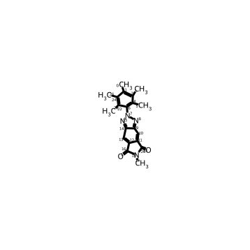 Cc1c(C)c(C)c(-n2nc3cc4c(cc3n2)C(=O)N(C)C4=O)c(C)c1C